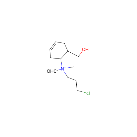 C[N+](C=O)(CCCCl)C1CC=CCC1CO